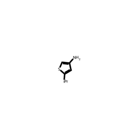 CC(C)c1cc(N)cs1